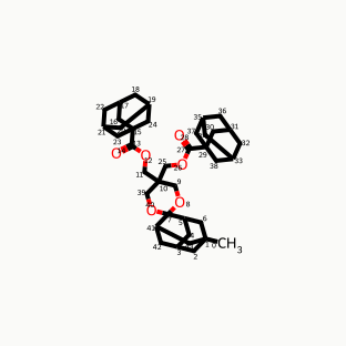 CC12CC3CC(C1)C1(OCC(COC(=O)C45CC6CC(CC(C6)C4)C5)(COC(=O)C45CC6CC(CC(C6)C4)C5)CO1)C(C3)C2